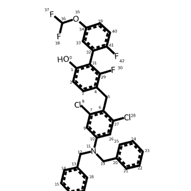 Oc1ccc(Cc2c(Cl)cc(N(Cc3ccccc3)Cc3ccccc3)cc2Cl)c(F)c1-c1cc(OC(F)F)ccc1F